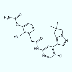 CC1(C)Cc2c(-c3cc(NC(=O)Cc4cccc(OC(N)=O)c4C(C)(C)C)ncc3Cl)cnn2C1